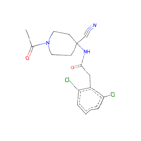 CC(=O)N1CCC(C#N)(NC(=O)Cc2c(Cl)cccc2Cl)CC1